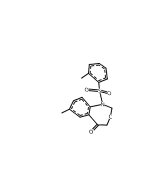 Cc1ccc2c(c1)C(=O)CCCN2S(=O)(=O)c1ccccc1C